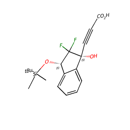 CC(C)(C)[Si](C)(C)O[C@H]1c2ccccc2[C@](O)(C#CC(=O)O)C1(F)F